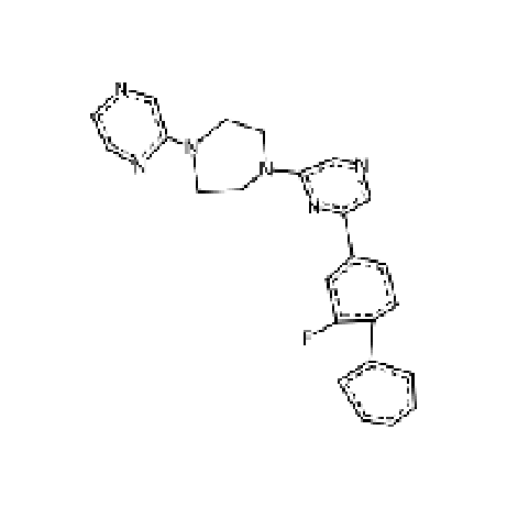 Fc1cc(-c2cncc(N3CCN(c4cnccn4)CC3)n2)ccc1-c1ccccc1